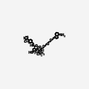 Cc1ncsc1-c1ccc(CNC(=O)[C@@H]2C[C@@H](O)CN2C(=O)C(NC(=O)COCCOCCOCCn2ccc3c(N)cccc32)C(C)(C)C)cc1